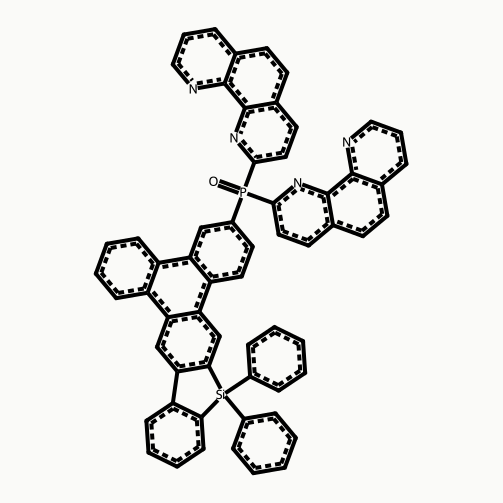 O=P(c1ccc2c(c1)c1ccccc1c1cc3c(cc21)[Si](c1ccccc1)(c1ccccc1)c1ccccc1-3)(c1ccc2ccc3cccnc3c2n1)c1ccc2ccc3cccnc3c2n1